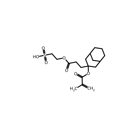 C=C(C)C(=O)OC1(CCC(=O)OCCS(=O)(=O)O)CC2CCCC(C2)C1